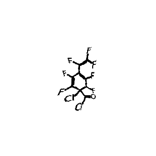 O=C(Cl)C1(Cl)C(F)=C(F)C(C(F)=C(F)F)=C(F)C1F